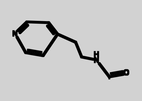 O=[C]NCCc1ccncc1